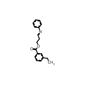 CCc1cccc(C(=O)OCCC=Nc2ccccc2)c1